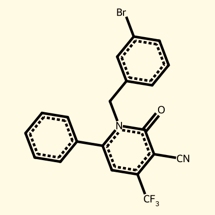 N#Cc1c(C(F)(F)F)cc(-c2ccccc2)n(Cc2cccc(Br)c2)c1=O